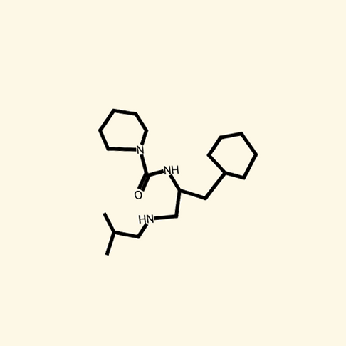 CC(C)CNCC(CC1CCCCC1)NC(=O)N1CCCCC1